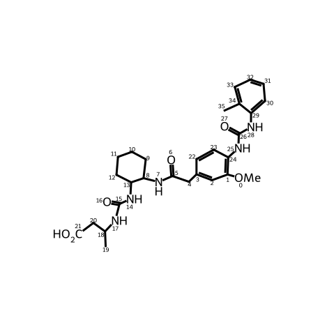 COc1cc(CC(=O)NC2CCCCC2NC(=O)NC(C)CC(=O)O)ccc1NC(=O)Nc1ccccc1C